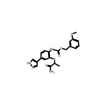 COc1cccc(COC(=O)Nc2ccc(-c3cn[nH]c3)cc2OC(C)C(N)=O)c1